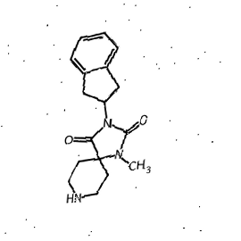 CN1C(=O)N(C2Cc3ccccc3C2)C(=O)C12CCNCC2